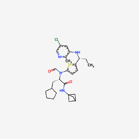 CC[C@@H](Nc1cc(Cl)cnc1C)c1ccc(N(C=O)[C@@H](CC2CCCC2)C(=O)NC23CC(C2)C3)s1